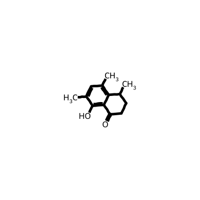 Cc1cc(C)c2c(c1O)C(=O)CCC2C